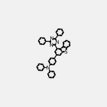 c1ccc(-c2nc(-c3ccccc3)nc(-c3cc(-c4ccc(N(c5ccccc5)c5ccccc5)cc4)cc4sc5ccccc5c34)n2)cc1